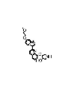 COCCOc1ccn2c(-c3ccc4cccc(O[C@@H]5CNC[C@H]5O)c4n3)cnc2c1